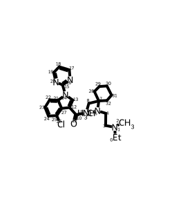 CCN(C)CCN(C)C1(CNC(=O)c2cn(-c3ncccn3)c3cccc(Cl)c23)CCCCC1